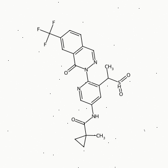 CC(c1cc(NC(=O)C2(C)CC2)cnc1-n1ncc2ccc(C(F)(F)F)cc2c1=O)[SH](=O)=O